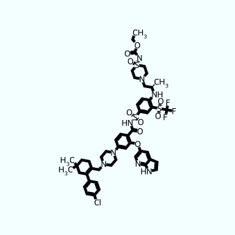 CCOC(=O)N=S1(=O)CCN(C[C@H](C)Nc2ccc(S(=O)(=O)NC(=O)c3ccc(N4CCN(CC5=C(c6ccc(Cl)cc6)CC(C)(C)CC5)CC4)cc3Oc3cnc4[nH]ccc4c3)cc2S(=O)(=O)C(F)(F)F)CC1